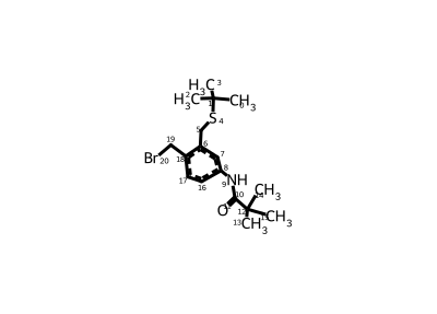 CC(C)(C)SCc1cc(NC(=O)C(C)(C)C)ccc1CBr